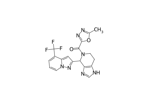 Cc1nnc(C(=O)N2CCc3[nH]cnc3C2c2cc3c(C(F)(F)F)cccn3n2)o1